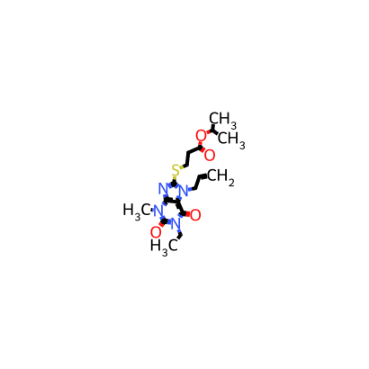 C=CCn1c(SCCC(=O)OC(C)C)nc2c1c(=O)n(CC)c(=O)n2C